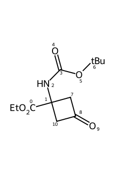 CCOC(=O)C1(NC(=O)OC(C)(C)C)CC(=O)C1